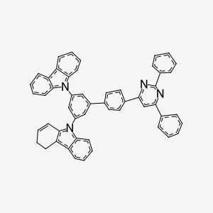 C1=Cc2c(c3ccccc3n2-c2cc(-c3ccc(-c4cc(-c5ccccc5)nc(-c5ccccc5)n4)cc3)cc(-n3c4ccccc4c4ccccc43)c2)CC1